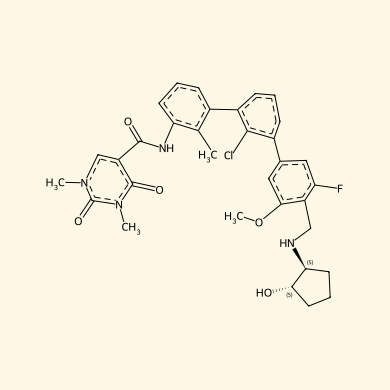 COc1cc(-c2cccc(-c3cccc(NC(=O)c4cn(C)c(=O)n(C)c4=O)c3C)c2Cl)cc(F)c1CN[C@H]1CCC[C@@H]1O